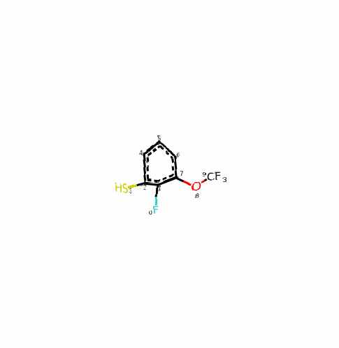 Fc1c(S)cccc1OC(F)(F)F